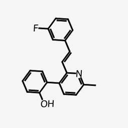 Cc1ccc(-c2ccccc2O)c(C=Cc2cccc(F)c2)n1